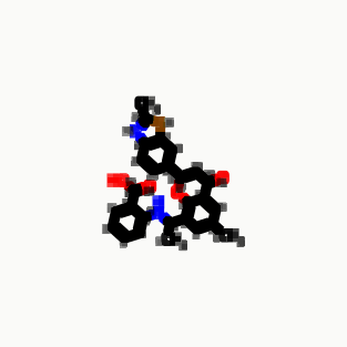 Cc1cc(C(C)Nc2ccccc2C(=O)O)c2oc(-c3ccc4nc(C)sc4c3)cc(=O)c2c1